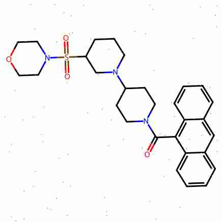 O=C(c1c2ccccc2cc2ccccc12)N1CCC(N2CCCC(S(=O)(=O)N3CCOCC3)C2)CC1